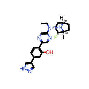 CCN(c1cnc(-c2ccc(-c3cn[nH]c3)cc2O)cn1)[C@@H]1C[C@H]2CC[C@H](N2)[C@@H]1F